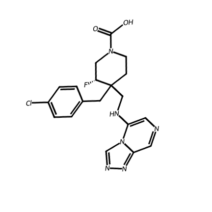 O=C(O)N1CCC(CNc2cncc3nncn23)(Cc2ccc(Cl)cc2)[C@H](F)C1